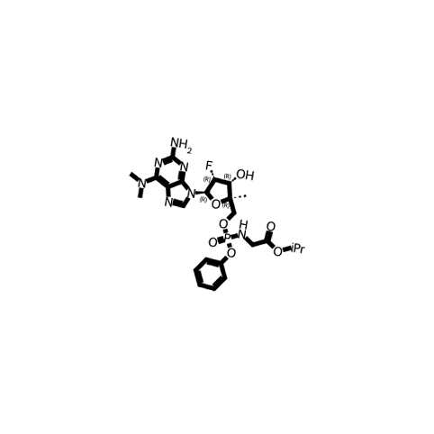 CC(C)OC(=O)CNP(=O)(OC[C@@]1(C)O[C@@H](n2cnc3c(N(C)C)nc(N)nc32)[C@H](F)[C@@H]1O)Oc1ccccc1